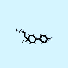 C=CCC1(C(C)=O)CCC(c2ccc(Cl)cc2)CC1